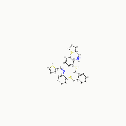 C(=N/c1ccccc1SCc1ccccc1CSc1ccccc1/N=C\c1cccs1)/c1cccs1